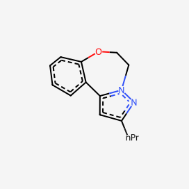 CCCc1cc2n(n1)CCOc1ccccc1-2